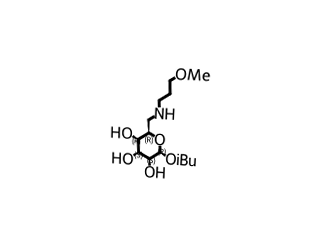 COCCCNC[C@H]1O[C@@H](OCC(C)C)[C@@H](O)[C@@H](O)[C@H]1O